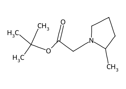 CC1CCCN1CC(=O)OC(C)(C)C